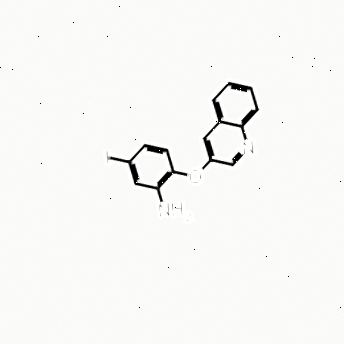 Nc1cc(I)ccc1Oc1cnc2ccccc2c1